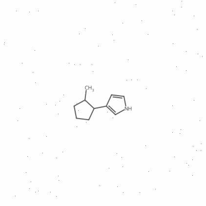 C[C]1CCCC1c1cc[nH]c1